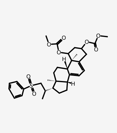 COC(=O)OC1CC2=CC=C3[C@@H]4CC[C@H](C(C)CS(=O)(=O)c5ccccc5)[C@@]4(C)CC[C@@H]3[C@@]2(C)C(OC(=O)OC)C1